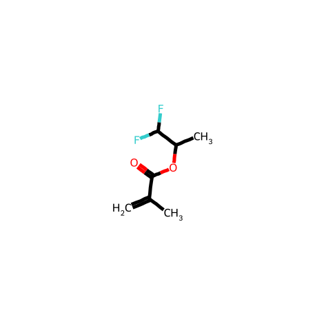 C=C(C)C(=O)OC(C)C(F)F